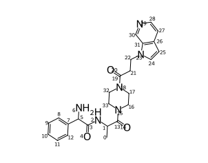 CC(NC(=O)C(N)c1ccccc1)C(=O)N1CCN(C(=O)CCn2ccc3ccncc32)CC1